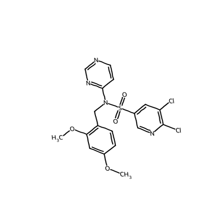 COc1ccc(CN(c2ccncn2)S(=O)(=O)c2cnc(Cl)c(Cl)c2)c(OC)c1